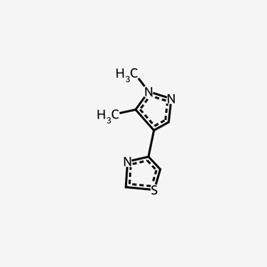 Cc1c(-c2cscn2)cnn1C